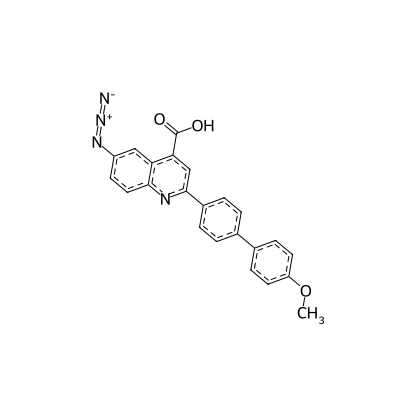 COc1ccc(-c2ccc(-c3cc(C(=O)O)c4cc(N=[N+]=[N-])ccc4n3)cc2)cc1